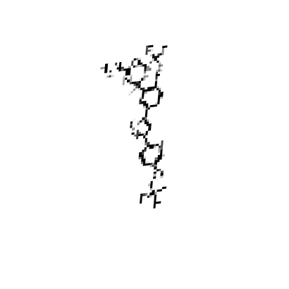 C[C@@]1(c2cc(-c3cc(-c4ccc(OCC(F)(F)F)cn4)no3)ccc2F)C[C@@H](C(F)(F)F)OC(N)=N1